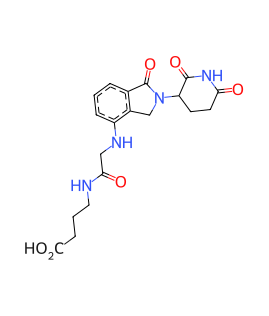 O=C(O)CCCNC(=O)CNc1cccc2c1CN(C1CCC(=O)NC1=O)C2=O